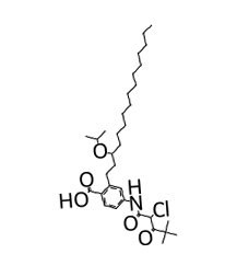 CCCCCCCCCCCCCC(CCc1cc(NC(=O)C(Cl)C(=O)C(C)(C)C)ccc1C(=O)O)OC(C)C